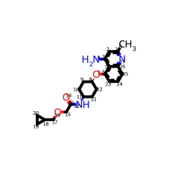 Cc1cc(N)c2c(O[C@H]3CC[C@H](NC(=O)COCC4CC4)CC3)cccc2n1